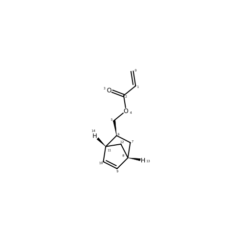 C=CC(=O)OC[C@H]1C[C@@H]2C=C[C@H]1C2